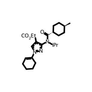 CCOC(=O)c1cn(C2=CCCCC2)nc1N(C(=O)[C@H]1CC[C@H](C)CC1)C(C)C